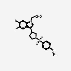 CC(C)Oc1ccc(S(=O)(=O)N2CCC(c3cn(CC=O)c4cc(I)c(F)cc34)C2)cc1